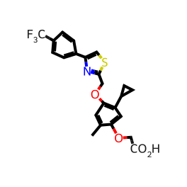 Cc1cc(OCc2nc(-c3ccc(C(F)(F)F)cc3)cs2)c(C2CC2)cc1OCC(=O)O